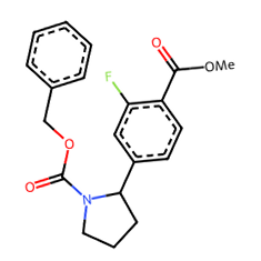 COC(=O)c1ccc(C2CCCN2C(=O)OCc2ccccc2)cc1F